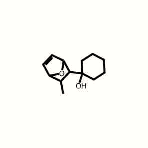 CC1C2C=CC(O2)C1C1(O)CCCCC1